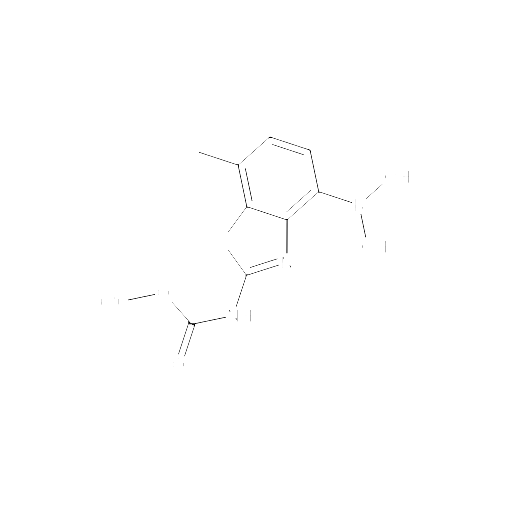 Cc1ccc(B(O)O)c2nc(NC(=O)OC(C)(C)C)sc12